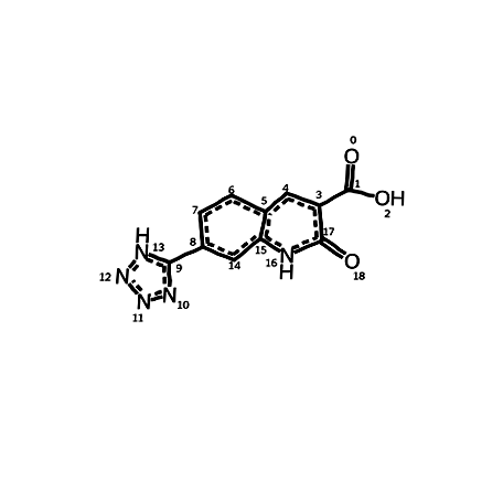 O=C(O)c1cc2ccc(-c3nnn[nH]3)cc2[nH]c1=O